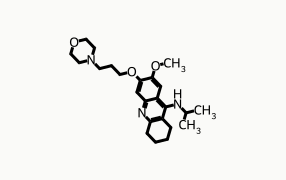 COc1cc2c(NC(C)C)c3c(nc2cc1OCCCN1CCOCC1)CCCC3